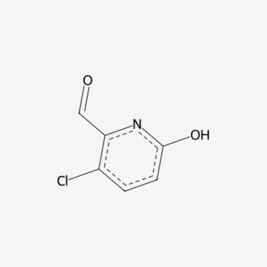 O=Cc1nc(O)ccc1Cl